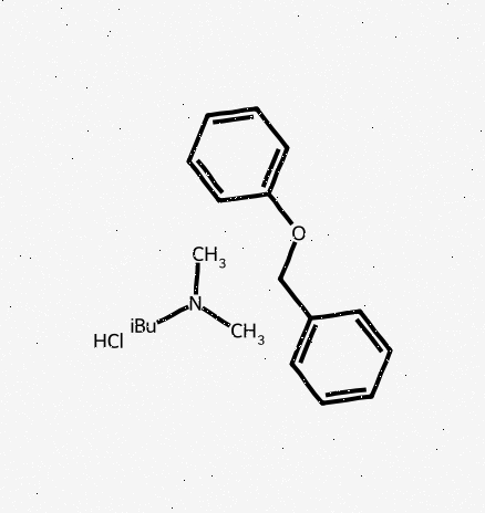 CCC(C)N(C)C.Cl.c1ccc(COc2ccccc2)cc1